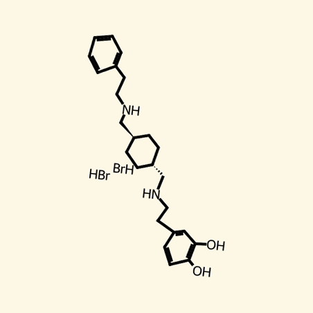 Br.Br.Oc1ccc(CCNC[C@H]2CC[C@H](CNCCc3ccccc3)CC2)cc1O